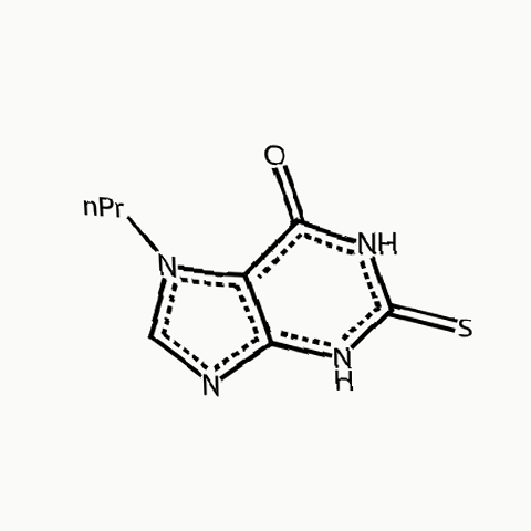 CCCn1cnc2[nH]c(=S)[nH]c(=O)c21